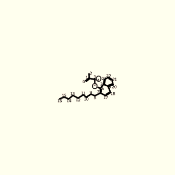 C=C(C)C(=O)Oc1c(CCCCCCCCC)ccc2ccccc12